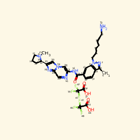 Cc1nn(CCCCCCN)c2cc(C(=O)Nc3cn4cc([C@H]5CCCN5C)nc4cn3)ccc12.O=C(O)C(F)(F)F.O=C(O)C(F)(F)F